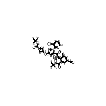 Cc1cc(C#N)cc(C(=O)NC(C)(C)C)c1NC(=O)c1cc(OC2CN(C(=O)OC(C)(C)C)C2)nn1-c1ncccc1Cl